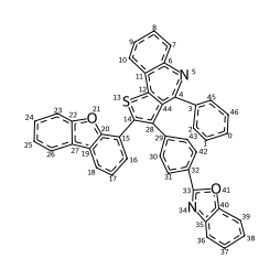 c1ccc(-c2nc3ccccc3c3sc(-c4cccc5c4oc4ccccc45)c(-c4ccc(-c5nc6ccccc6o5)cc4)c23)cc1